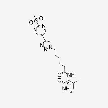 CC(C)[C@H](NC(=O)CCCCCn1cc(-c2cnc(S(C)(=O)=O)nc2)nn1)C(N)=O